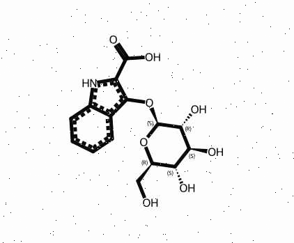 O=C(O)c1[nH]c2ccccc2c1O[C@@H]1O[C@H](CO)[C@@H](O)[C@H](O)[C@H]1O